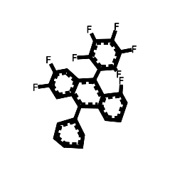 Fc1cc2c(-c3ccccc3)c3cccc(F)c3c(-c3c(F)c(F)c(F)c(F)c3F)c2cc1F